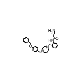 NCCC(=O)Nc1ccccc1CN1CCCN(Cc2ccc(OCc3ccccc3)cc2)CC1